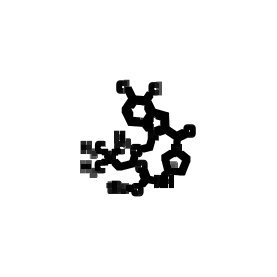 CC(C)(C)OC(=O)N[C@@H]1CCN(C(=O)c2cc3c(Cl)c(Cl)ccc3n2COCC[Si](C)(C)C)C1